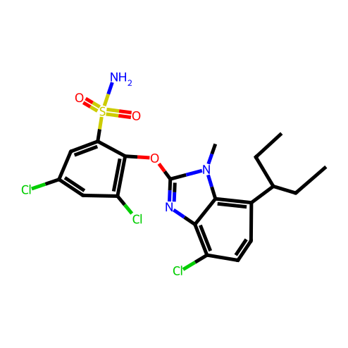 CCC(CC)c1ccc(Cl)c2nc(Oc3c(Cl)cc(Cl)cc3S(N)(=O)=O)n(C)c12